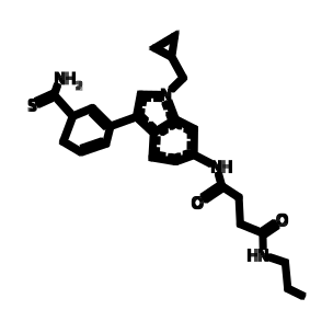 CCCNC(=O)CCC(=O)Nc1ccc2c(C3=CC(C(N)=S)CC=C3)cn(CC3CC3)c2c1